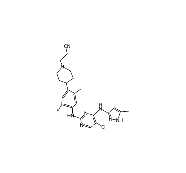 Cc1cc(Nc2nc(Nc3cc(C)c(C4CCN(CCC#N)CC4)cc3F)ncc2Cl)n[nH]1